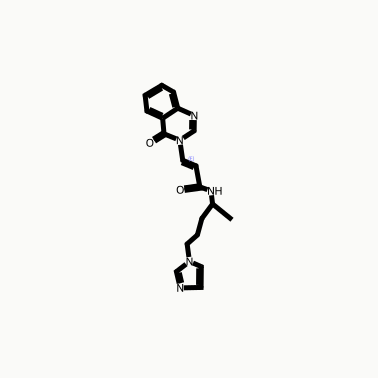 CC(CCCn1ccnc1)NC(=O)/C=C/n1cnc2ccccc2c1=O